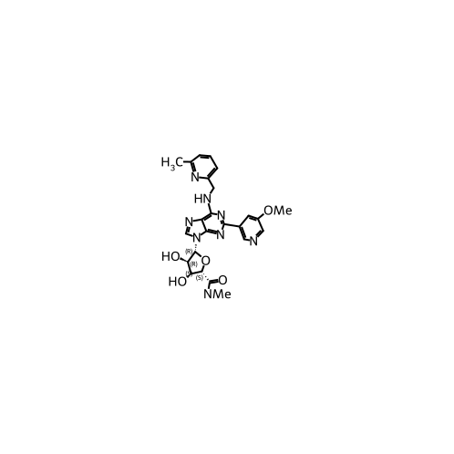 CNC(=O)[C@H]1O[C@@H](n2cnc3c(NCc4cccc(C)n4)nc(-c4cncc(OC)c4)nc32)[C@H](O)[C@@H]1O